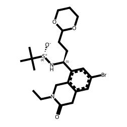 CCN1Cc2c(cc(Br)cc2[C@H](CCC2OCCCO2)N[S@@+]([O-])C(C)(C)C)CC1=O